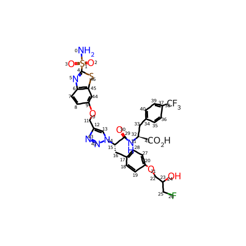 NS(=O)(=O)c1nc2ccc(OCc3cn([C@@H](Cc4ccc(OCC(O)CF)cc4)C(=O)N[C@@H](Cc4ccc(C(F)(F)F)cc4)C(=O)O)nn3)cc2s1